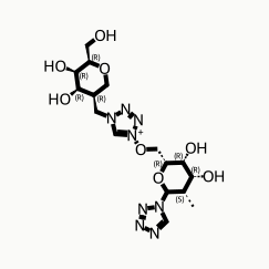 C[C@@H]1C(n2cnnn2)O[C@H](CO[n+]2cn(C[C@@H]3CO[C@H](CO)[C@H](O)[C@@H]3O)nn2)[C@H](O)[C@@H]1O